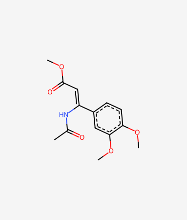 COC(=O)C=C(NC(C)=O)c1ccc(OC)c(OC)c1